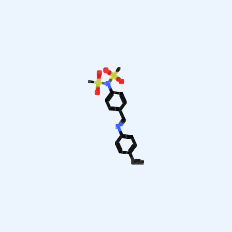 COc1ccc(/N=C/c2ccc(N(S(C)(=O)=O)S(C)(=O)=O)cc2)cc1